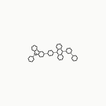 c1ccc(-c2cccc(-c3c4ccccc4c(-c4ccc(-c5ccc6c(c5)c5ccccc5n6-c5ccccc5)cc4)c4ccccc34)c2)cc1